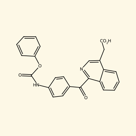 O=C(O)Cc1cnc(C(=O)c2ccc(NC(=O)Oc3ccccc3)cc2)c2ccccc12